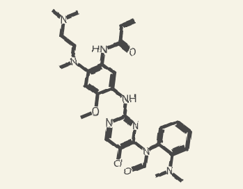 C=CC(=O)Nc1cc(Nc2ncc(Cl)c(N(C=O)c3ccccc3N(C)C)n2)c(OC)cc1N(C)CCN(C)C